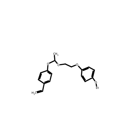 C=Cc1ccc(OC(C)OCCOc2ccc(OCC)cc2)cc1